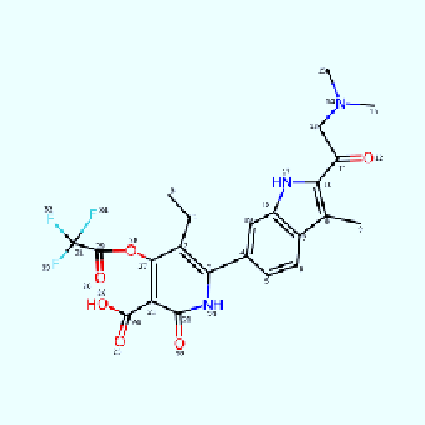 CCc1c(-c2ccc3c(C)c(C(=O)CN(C)C)[nH]c3c2)[nH]c(=O)c(C(=O)O)c1OC(=O)C(F)(F)F